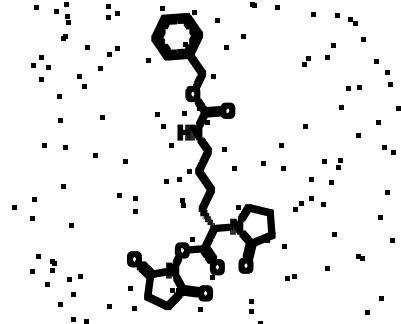 O=C(NCCCC[C@@H](C(=O)ON1C(=O)CCC1=O)N1CCCC1=O)OCc1ccccc1